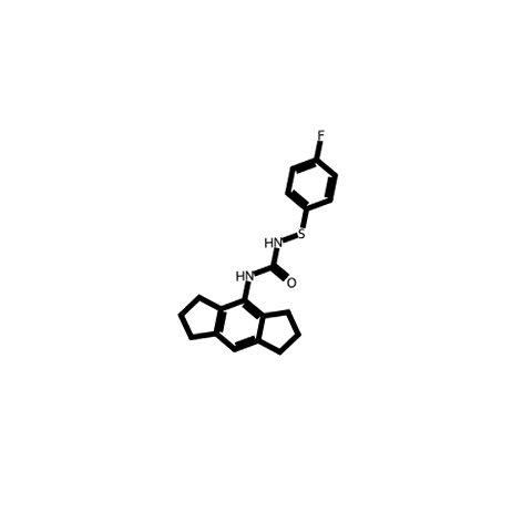 O=C(NSc1ccc(F)cc1)Nc1c2c(cc3c1CCC3)CCC2